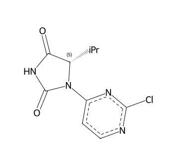 CC(C)[C@H]1C(=O)NC(=O)N1c1ccnc(Cl)n1